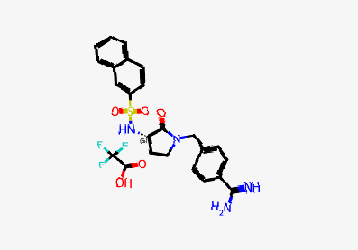 N=C(N)c1ccc(CN2CC[C@H](NS(=O)(=O)c3ccc4ccccc4c3)C2=O)cc1.O=C(O)C(F)(F)F